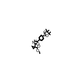 CCOC(=O)C1(c2nnc(-c3ccc(B4OC(C)(C)C(C)(C)O4)cc3)o2)CC1